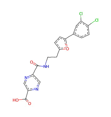 O=C(O)c1cnc(C(=O)NCCc2ccc(-c3ccc(Cl)c(Cl)c3)o2)cn1